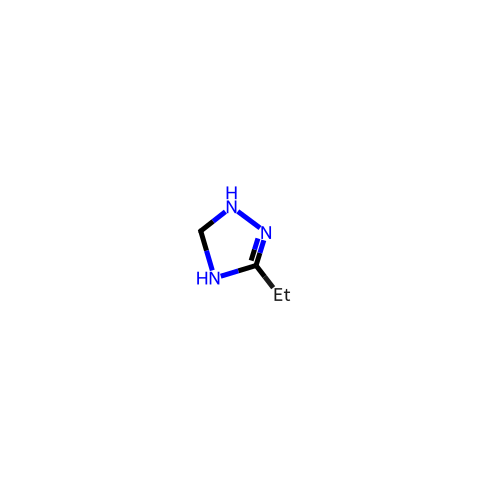 CCC1=NNCN1